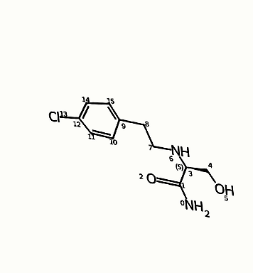 NC(=O)[C@H](CO)NCCc1ccc(Cl)cc1